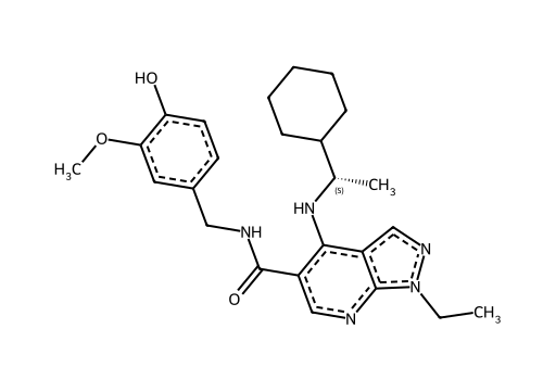 CCn1ncc2c(N[C@@H](C)C3CCCCC3)c(C(=O)NCc3ccc(O)c(OC)c3)cnc21